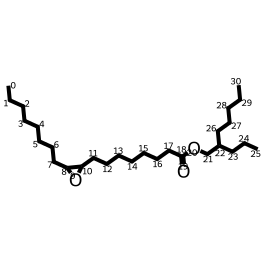 CCCCCCCCC1OC1CCCCCCCC(=O)OCC(CCC)CCCCC